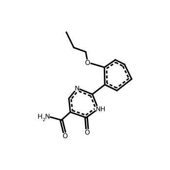 CCCOc1ccccc1-c1ncc(C(N)=O)c(=O)[nH]1